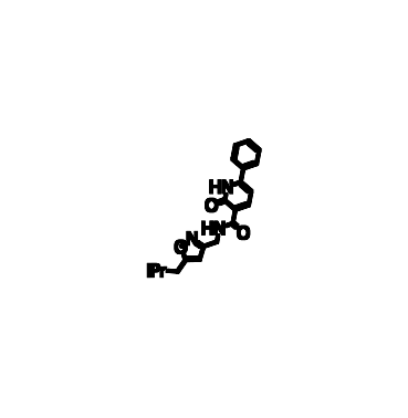 CC(C)Cc1cc(CNC(=O)c2ccc(-c3ccccc3)[nH]c2=O)no1